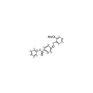 COc1ccccc1COc1ccc(C(=O)Cc2ccccc2)cc1